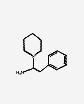 NC(Cc1ccccc1)N1CCCCC1